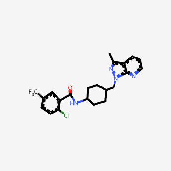 Cc1nn(CC2CCC(NC(=O)c3cc(C(F)(F)F)ccc3Cl)CC2)c2ncccc12